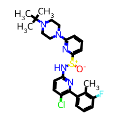 Cc1c(F)cccc1-c1nc(N[S+]([O-])c2cccc(N3CCN(C(C)(C)C)CC3)n2)ccc1Cl